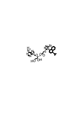 Nc1ncnc2c1ncn2CO[C@H](COC(=O)CSc1nnc(Br)n1-c1ccc(C2CC2)c2ccccc12)C(O)CO